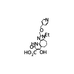 CCn1c(COCc2ccncc2)nc2c1CCCc1c-2[nH]c(=O)c(C(=O)O)c1O